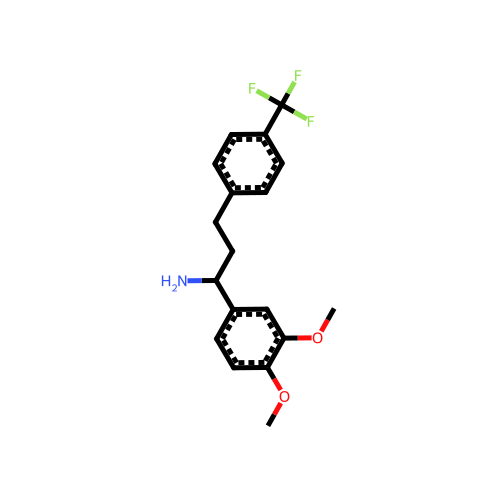 COc1ccc(C(N)CCc2ccc(C(F)(F)F)cc2)cc1OC